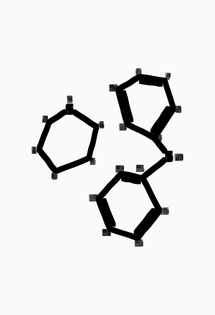 C1CCSCC1.c1ccc(Sc2ccccc2)cc1